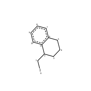 ICC1CCCc2ccccc21